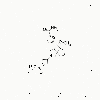 COC1(c2ccc(C(N)=O)s2)C2CCCC23CN(C2CN(C(C)=O)C2)CC31